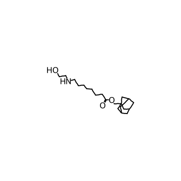 O=C(CCCCCCCNCCO)OCC12CC3CC(CC(C3)C1)C2